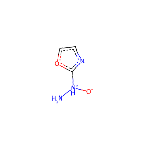 N[NH+]([O-])c1ncco1